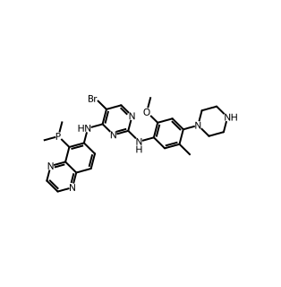 COc1cc(N2CCNCC2)c(C)cc1Nc1ncc(Br)c(Nc2ccc3nccnc3c2P(C)C)n1